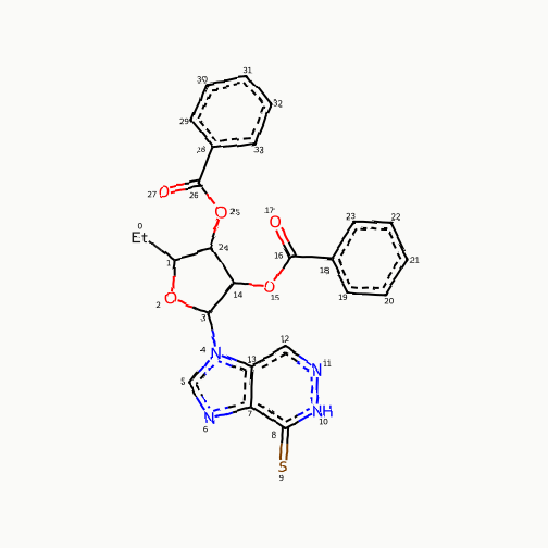 CCC1OC(n2cnc3c(=S)[nH]ncc32)C(OC(=O)c2ccccc2)C1OC(=O)c1ccccc1